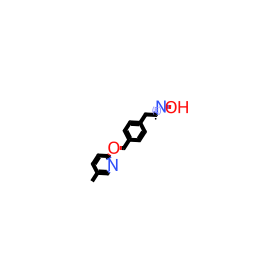 Cc1ccc(OCc2ccc(C/[C]=N/O)cc2)nc1